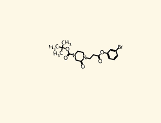 CC(C)(C)OC(=O)N1CCN(CCC(=O)Oc2cccc(Br)c2)C(=O)C1